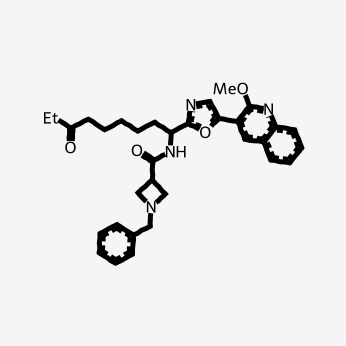 CCC(=O)CCCCCC(NC(=O)C1CN(Cc2ccccc2)C1)c1ncc(-c2cc3ccccc3nc2OC)o1